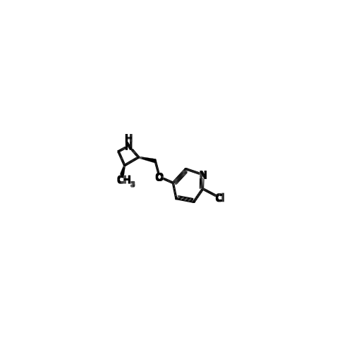 C[C@H]1CN[C@H]1COc1ccc(Cl)nc1